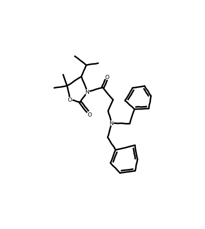 CC(C)C1N(C(=O)CCN(Cc2ccccc2)Cc2ccccc2)C(=O)OC1(C)C